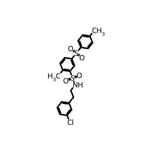 Cc1ccc(S(=O)(=O)c2ccc(C)c(S(=O)(=O)NCCc3cccc(Cl)c3)c2)cc1